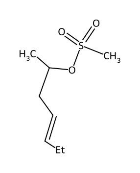 CCC=CCC(C)OS(C)(=O)=O